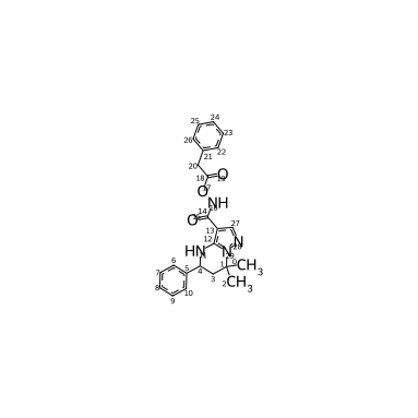 CC1(C)CC(c2ccccc2)Nc2c(C(=O)NOC(=O)Cc3ccccc3)cnn21